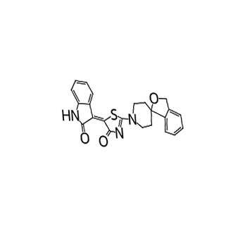 O=C1N=C(N2CCC3(CC2)OCc2ccccc23)S/C1=C1/C(=O)Nc2ccccc21